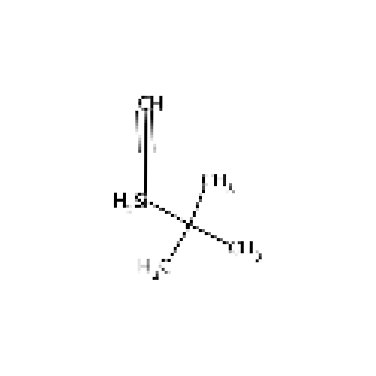 C#C[SiH2]C(C)(C)C